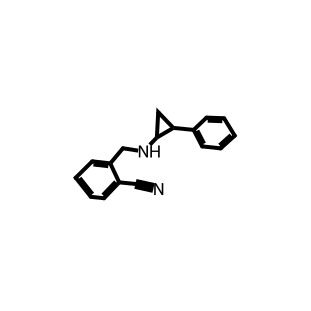 N#Cc1ccccc1CNC1CC1c1ccccc1